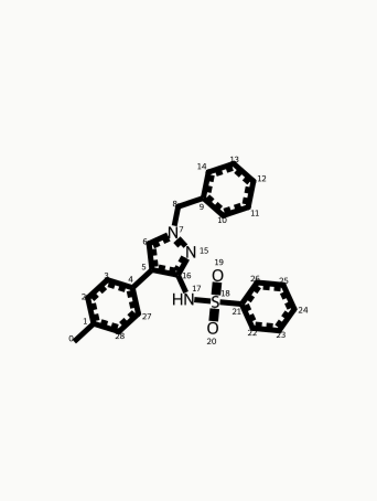 Cc1ccc(-c2cn(Cc3ccccc3)nc2NS(=O)(=O)c2ccccc2)cc1